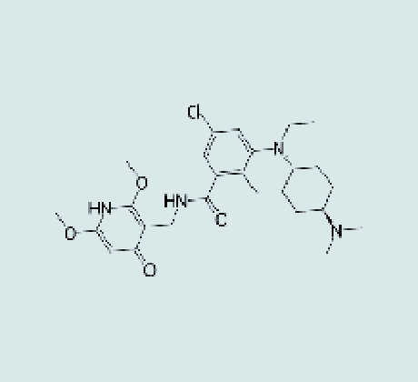 CCN(c1cc(Cl)cc(C(=O)NCc2c(OC)[nH]c(OC)cc2=O)c1C)[C@H]1CC[C@H](N(C)C)CC1